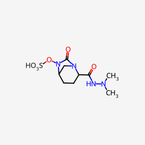 CN(C)NC(=O)C1CCC2CN1C(=O)N2OS(=O)(=O)O